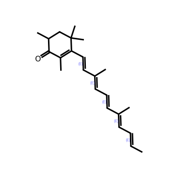 C/C=C/C=C(C)/C=C/C=C(C)/C=C/C1=C(C)C(=O)C(C)CC1(C)C